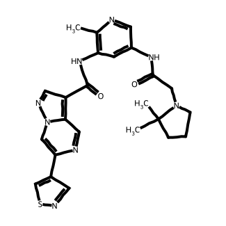 Cc1ncc(NC(=O)CN2CCCC2(C)C)cc1NC(=O)c1cnn2cc(-c3cnsc3)ncc12